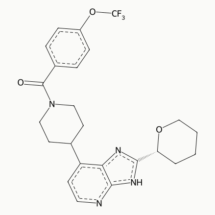 O=C(c1ccc(OC(F)(F)F)cc1)N1CCC(c2ccnc3[nH]c([C@H]4CCCCO4)nc23)CC1